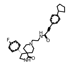 O=C(C#Cc1ccc(C2CCCC2)cc1)NCCN1CCC2(CC1)C(=O)NC[C@@H]2c1ccc(F)cc1